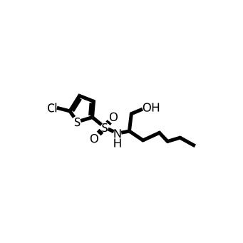 CCCCCC(CO)NS(=O)(=O)c1ccc(Cl)s1